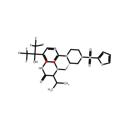 CC(C)C1C(=O)NCCN1C[C@H]1CN(S(=O)(=O)c2cccs2)CCN1c1ncc(C(O)(C(F)(F)F)C(F)(F)F)cn1